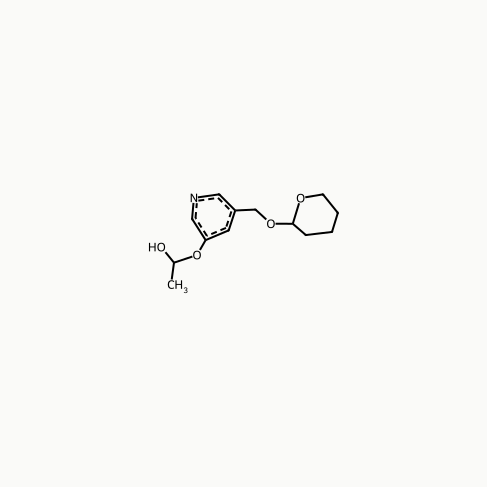 CC(O)Oc1cncc(COC2CCCCO2)c1